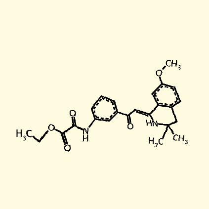 CCOC(=O)C(=O)Nc1cccc(C(=O)C=C2NC(C)(C)Cc3ccc(OC)cc32)c1